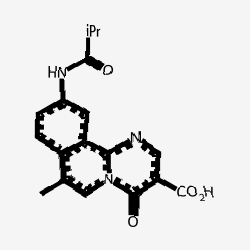 Cc1cn2c(=O)c(C(=O)O)cnc2c2cc(NC(=O)C(C)C)ccc12